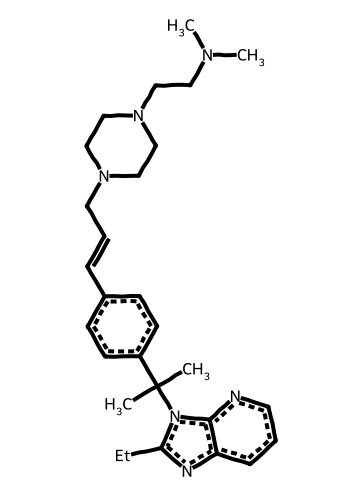 CCc1nc2cccnc2n1C(C)(C)c1ccc(C=CCN2CCN(CCN(C)C)CC2)cc1